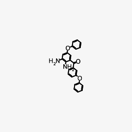 Nc1cc(Oc2ccccc2)cc(C(=O)c2cccc(Oc3ccccc3)c2)c1N